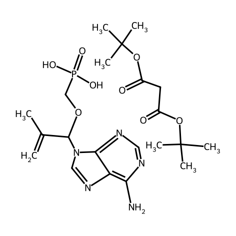 C=C(C)C(OCP(=O)(O)O)n1cnc2c(N)ncnc21.CC(C)(C)OC(=O)CC(=O)OC(C)(C)C